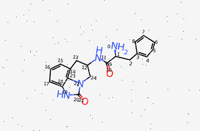 N[C@@H](Cc1ccccc1)C(=O)NC1Cc2cccc3[nH]c(=O)n(c23)C1